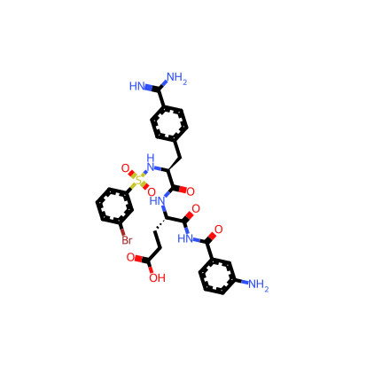 N=C(N)c1ccc(C[C@H](NS(=O)(=O)c2cccc(Br)c2)C(=O)N[C@@H](CCC(=O)O)C(=O)NC(=O)c2cccc(N)c2)cc1